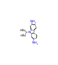 CCCCC(CCCC)n1c2cc(N)ccc2c2ccc(N)cc21